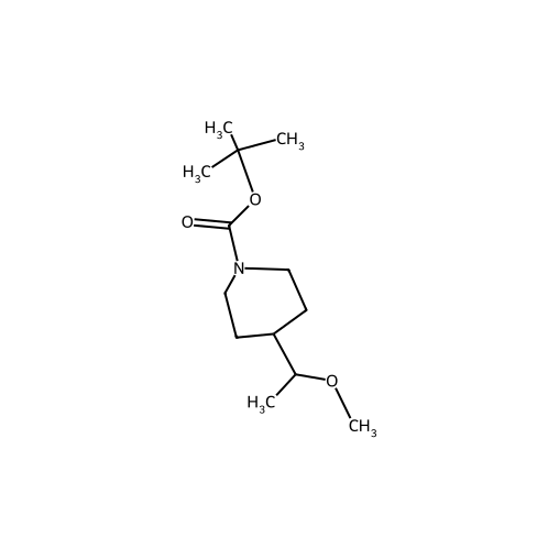 COC(C)C1CCN(C(=O)OC(C)(C)C)CC1